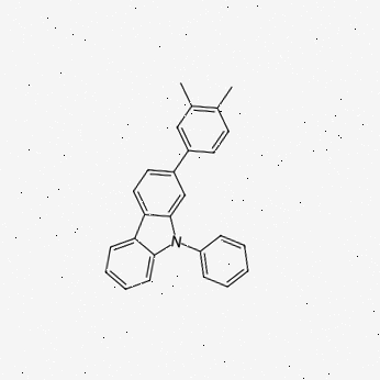 Cc1ccc(-c2ccc3c4ccccc4n(-c4ccccc4)c3c2)cc1C